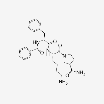 NCCCC[C@H](NC(=O)[C@H](Cc1ccccc1)NC(=O)c1ccccc1)C(=O)N1CC[C@@H](C(N)=O)C1